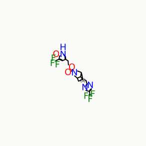 O=C(OCCc1c[nH]c(=O)c(C(F)(F)F)c1)N1CC2C[C@@]3(Cc4ncc(C(F)(F)F)cn4)C(C1)C23